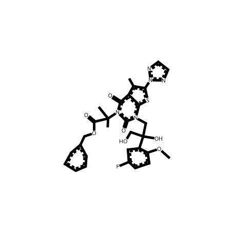 COc1ccc(F)cc1C(O)(CO)Cn1c(=O)n(C(C)(C)C(=O)OCc2ccccc2)c(=O)c2c(C)c(-n3nccn3)sc21